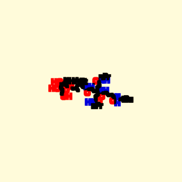 CCCNC(=O)CCC(CCC(=O)NCCC)(CCC(=O)NCC(CC)CC(C)COC1OC(CO)C(O)C(O)[C@@H]1NC(C)=O)NC(=O)CCCC(=O)NCC(C)(C)C